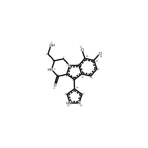 O=C1NC(CO)Cn2c1c(-c1cn[nH]c1)c1ccc(Cl)c(Cl)c12